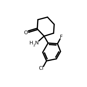 NC1(c2cc(Cl)ccc2F)CCCCC1=O